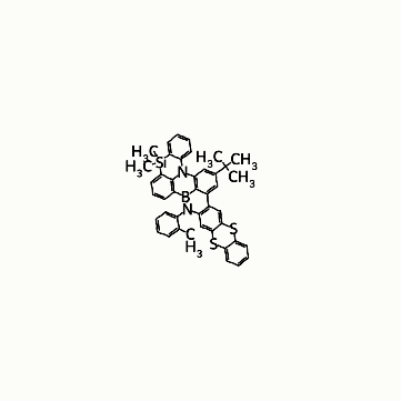 Cc1ccccc1N1B2c3cccc4c3N(c3ccccc3[Si]4(C)C)c3cc(C(C)(C)C)cc(c32)-c2cc3c(cc21)Sc1ccccc1S3